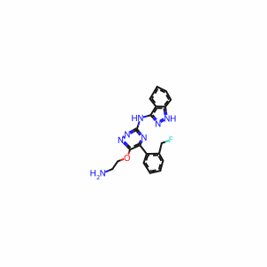 NCCOc1nnc(Nc2n[nH]c3ccccc23)nc1-c1ccccc1CF